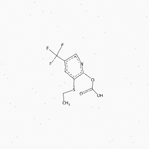 CCSc1cc(C(F)(F)F)cnc1OC(=O)O